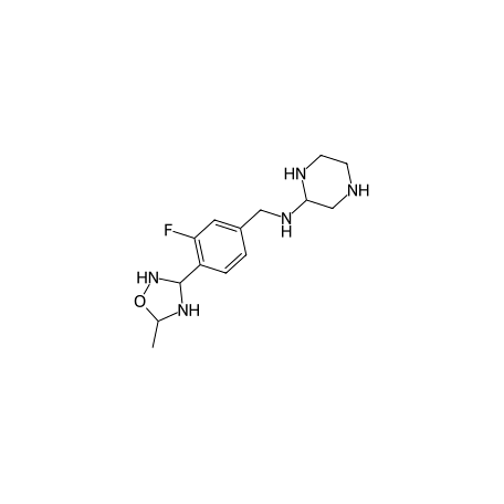 CC1NC(c2ccc(CNC3CNCCN3)cc2F)NO1